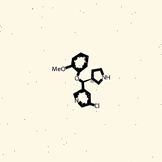 COc1ccccc1OC(c1cncc(Cl)c1)[C@H]1CCNC1